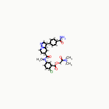 CN(C)C(=O)COC(=O)c1cc(N(C)C(=O)c2ccn3ncc(-c4ccc(C(N)=O)cc4)c3c2)ccc1Cl